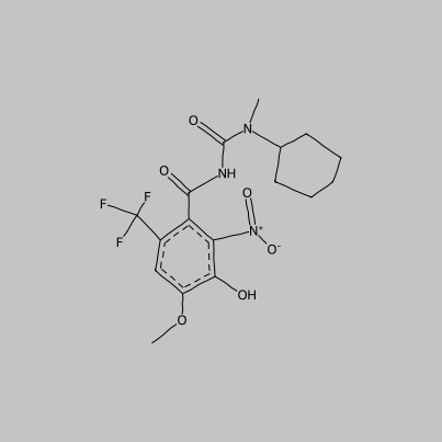 COc1cc(C(F)(F)F)c(C(=O)NC(=O)N(C)C2CCCCC2)c([N+](=O)[O-])c1O